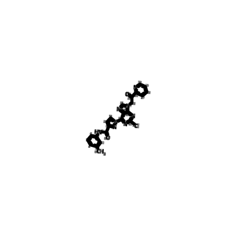 Cc1cccc(NC(=O)c2ccn(-c3nc(Cl)nc4c3ncn4CC(=O)c3ccccn3)n2)c1